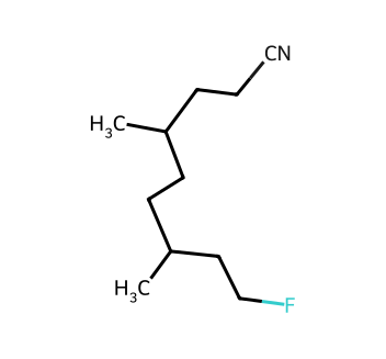 CC(CCF)CCC(C)CCC#N